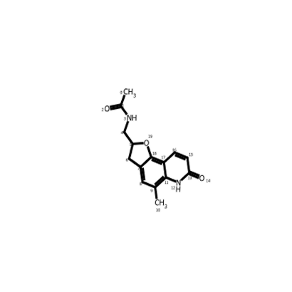 CC(=O)NCC1Cc2cc(C)c3[nH]c(=O)ccc3c2O1